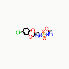 CC(=O)NS(=O)(=O)NC[C@H]1COc2cc(Cl)ccc2O1